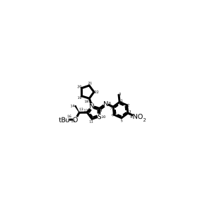 Cc1cc([N+](=O)[O-])ccc1N=c1scc([C@H](C)OC(C)(C)C)n1C1CCCC1